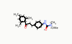 CON(C)C(=O)Nc1ccc(CCC(=O)c2c(C)cc(C)cc2C)cc1